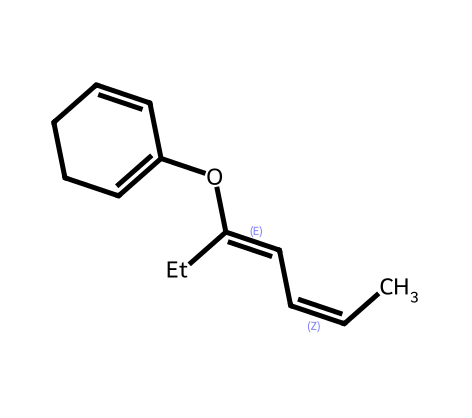 C/C=C\C=C(/CC)OC1=CCCC=C1